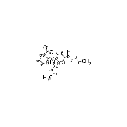 CCCCNC1=CCC(NCCCC)(C2OC(=O)c3ccccc32)C=C1